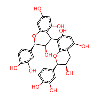 Oc1cc(O)c2c(c1)O[C@H](c1ccc(O)c(O)c1)[C@H](O)C2c1c(O)cc(O)c2c1O[C@H](c1ccc(O)c(O)c1)[C@H](O)C2